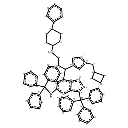 c1ccc(C2CCC(NCCC(c3cnn(CC4CCC4)c3)c3cc(NC(c4ccccc4)(c4ccccc4)c4ccccc4)nc4c3nnn4C(c3ccccc3)(c3ccccc3)c3ccccc3)CC2)cc1